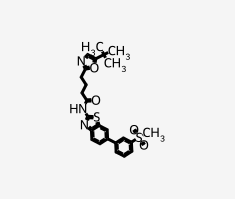 CC(C)(C)c1cnc(CCCC(=O)Nc2nc3ccc(-c4cccc(S(C)(=O)=O)c4)cc3s2)o1